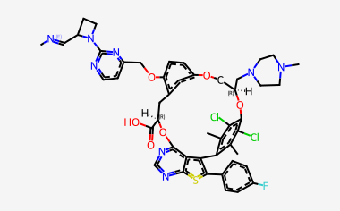 C/N=C/C1CCN1c1nccc(COc2ccc3cc2C[C@H](C(=O)O)Oc2ncnc4sc(-c5ccc(F)cc5)c(c24)-c2c(C)c(Cl)c(c(Cl)c2C)O[C@H](CN2CCN(C)CC2)CO3)n1